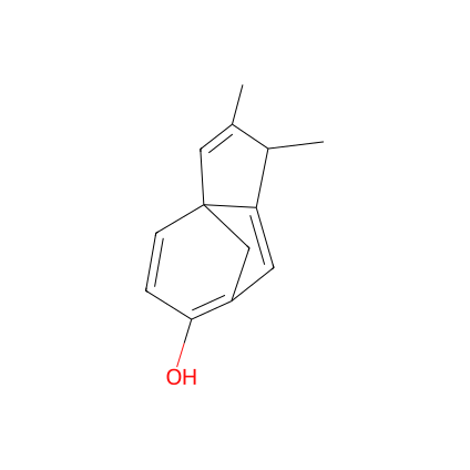 CC1=CC23C=CC(O)=C(C=C2C1C)C3